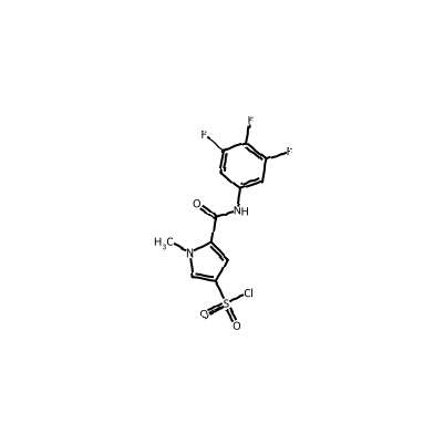 Cn1cc(S(=O)(=O)Cl)cc1C(=O)Nc1cc(F)c(F)c(F)c1